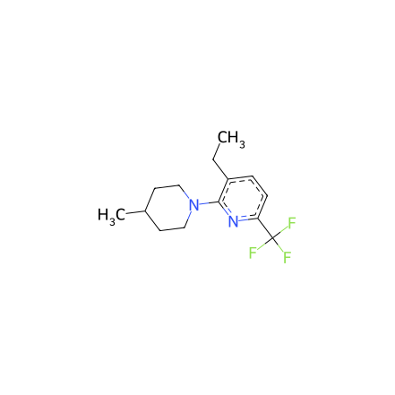 CCc1ccc(C(F)(F)F)nc1N1CCC(C)CC1